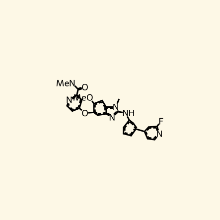 CNC(=O)c1cc(Oc2cc3nc(Nc4cccc(-c5ccnc(F)c5)c4)n(C)c3cc2OC)ccn1